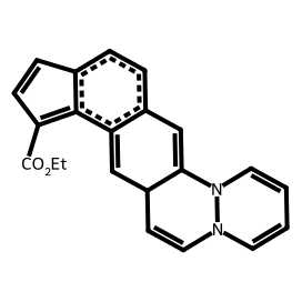 CCOC(=O)C1=c2c(ccc3c2=CC2C=CN4C=CC=CN4C2=C3)C=C1